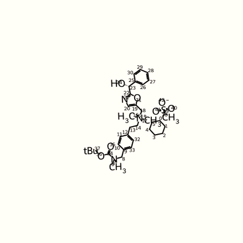 C1CCCCC1.CN(Cc1ccc(CC[N+](C)(C)Cc2cnc([C@H](O)c3ccccc3)o2)cc1)C(=O)OC(C)(C)C.CS(=O)(=O)[O-]